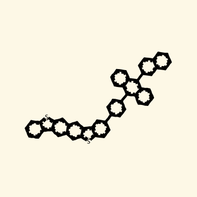 c1ccc2cc(-c3c4ccccc4c(-c4ccc(-c5ccc6sc7cc8cc9c(cc8cc7c6c5)sc5ccccc59)cc4)c4ccccc34)ccc2c1